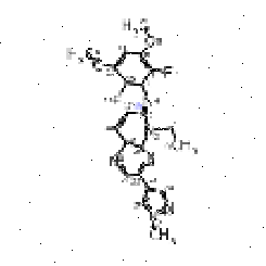 CCN1/C(=N/C2C(F)=C(OC)C=C(OC)C2F)C=CC2N=CC(c3cnn(C)c3)=NC21